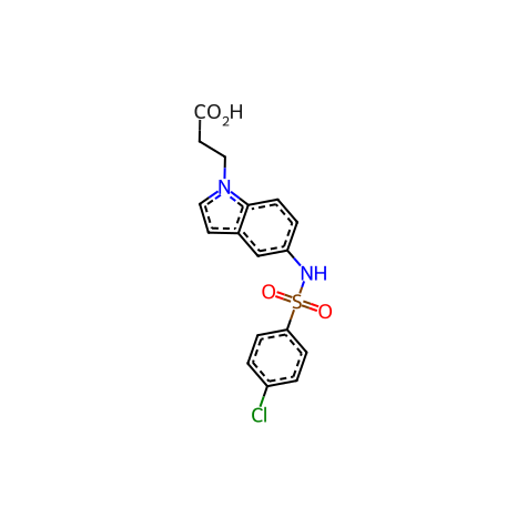 O=C(O)CCn1ccc2cc(NS(=O)(=O)c3ccc(Cl)cc3)ccc21